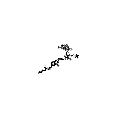 CCCCCC(=O)NCCc1ccc(COCC#CBC2OC(COP(=O)(O)OP(=O)(O)OP(=O)(O)O)C(OCSSC(C)(C)C)C2O)c([N+](=O)[O-])c1